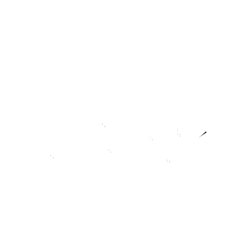 CC(C)[C@H](C)Nc1nccc(-c2c(-c3ccc(F)cc3)nc3cc(CN(C)C)ccn23)n1